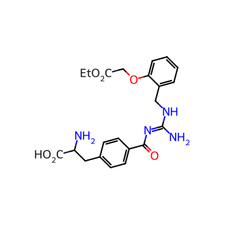 CCOC(=O)COc1ccccc1CNC(N)=NC(=O)c1ccc(CC(N)C(=O)O)cc1